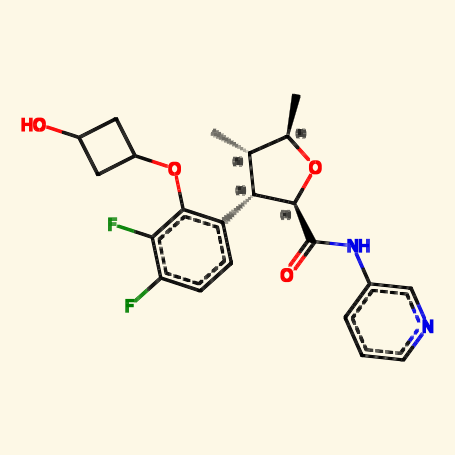 C[C@H]1[C@@H](c2ccc(F)c(F)c2OC2CC(O)C2)[C@H](C(=O)Nc2cccnc2)O[C@@H]1C